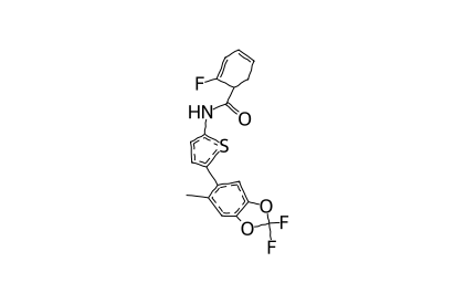 Cc1cc2c(cc1-c1ccc(NC(=O)C3CC=CC=C3F)s1)OC(F)(F)O2